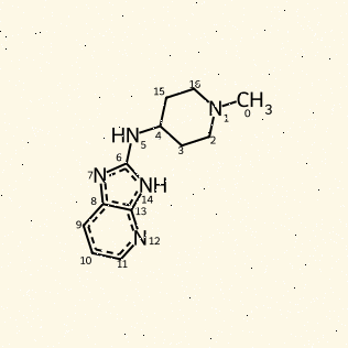 CN1CCC(Nc2nc3cccnc3[nH]2)CC1